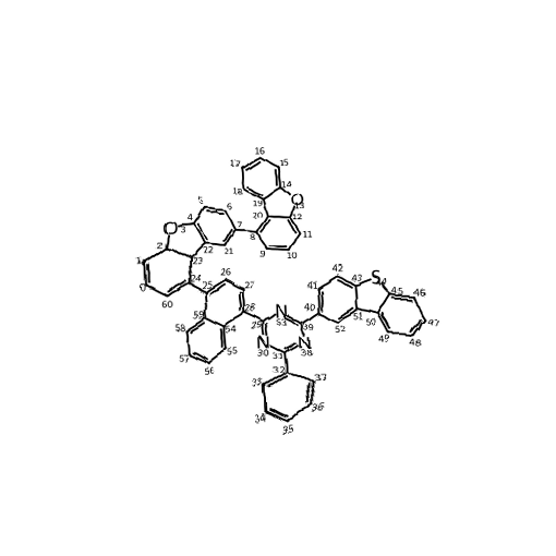 C1=CC2Oc3ccc(-c4cccc5oc6ccccc6c45)cc3C2C(c2ccc(-c3nc(-c4ccccc4)nc(-c4ccc5sc6ccccc6c5c4)n3)c3ccccc23)=C1